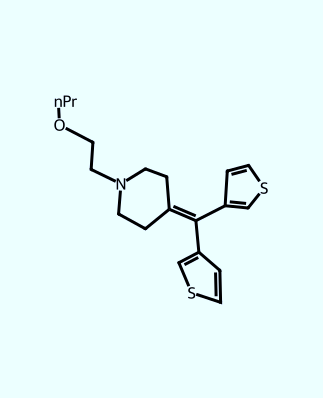 CCCOCCN1CCC(=C(c2ccsc2)c2ccsc2)CC1